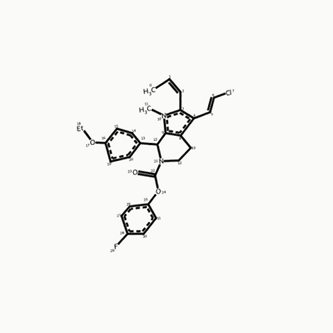 C/C=C\c1c(/C=C/Cl)c2c(n1C)C(c1ccc(OCC)cc1)N(C(=O)Oc1ccc(F)cc1)CC2